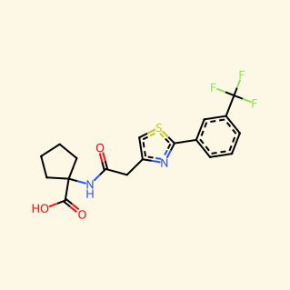 O=C(Cc1csc(-c2cccc(C(F)(F)F)c2)n1)NC1(C(=O)O)CCCC1